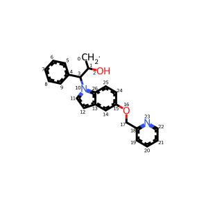 [CH2]C(O)C(c1ccccc1)n1ccc2cc(OCc3ccccn3)ccc21